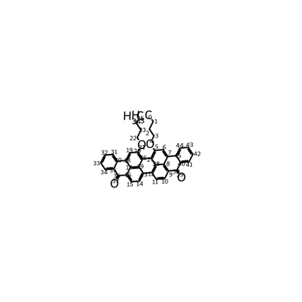 CCCCOc1cc2c3c(ccc4c5ccc6c7c(cc(OCCCC)c(c1c34)c75)-c1ccccc1C6=O)C(=O)c1ccccc1-2